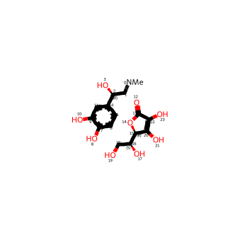 CNC[C@H](O)c1ccc(O)c(O)c1.O=C1O[C@H]([C@@H](O)CO)C(O)=C1O